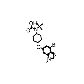 Cn1cnc2c(Br)cc(O[C@H]3CC[C@@H](N(C(=O)O)C(C)(C)C)CC3)cc21